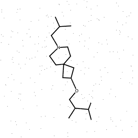 CC(C)CN1CCC2(CC1)CC(OCC(C)C(C)C)C2